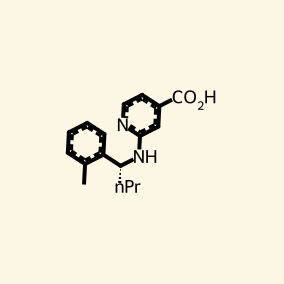 CCC[C@@H](Nc1cc(C(=O)O)ccn1)c1ccccc1C